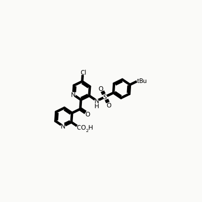 CC(C)(C)c1ccc(S(=O)(=O)Nc2cc(Cl)cnc2C(=O)c2cccnc2C(=O)O)cc1